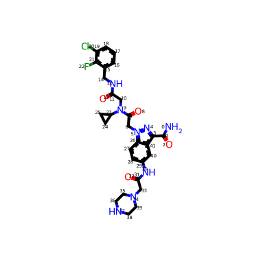 NC(=O)c1nn(CC(=O)N(CC(=O)NCc2cccc(Cl)c2F)C2CC2)c2ccc(NC(=O)CN3CCNCC3)cc12